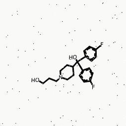 OCCCN1CCC(C(O)(c2ccc(F)cc2)c2ccc(F)cc2)CC1